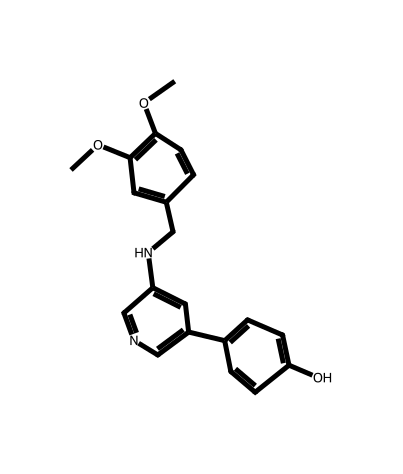 COc1ccc(CNc2cncc(-c3ccc(O)cc3)c2)cc1OC